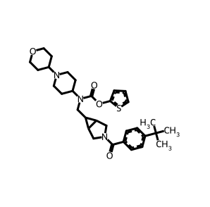 CC(C)(C)c1ccc(C(=O)N2CC3C(C2)C3CN(C(=O)Oc2cccs2)C2CCN(C3CCOCC3)CC2)cc1